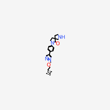 C[Si](C)(C)CCOCn1cc(-c2ccc(N3CCC4(CCNC4)C3=O)cc2)cn1